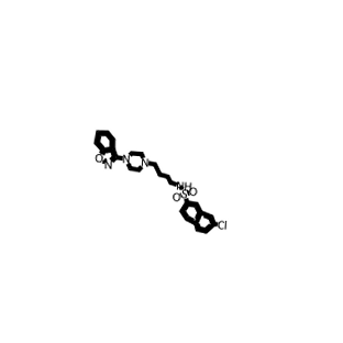 O=S(=O)(NCCCCN1CCN(c2noc3ccccc23)CC1)c1ccc2ccc(Cl)cc2c1